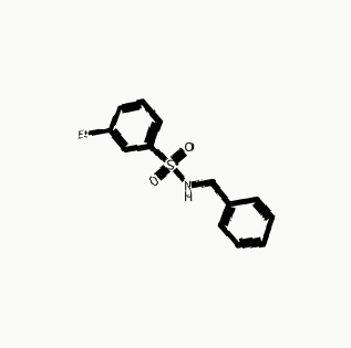 CCc1cccc(S(=O)(=O)NCc2ccccc2)c1